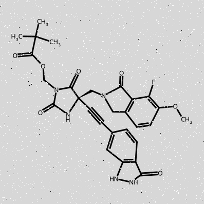 COc1ccc2c(c1F)C(=O)N(C[C@@]1(C#Cc3ccc4c(=O)[nH][nH]c4c3)NC(=O)N(COC(=O)C(C)(C)C)C1=O)C2